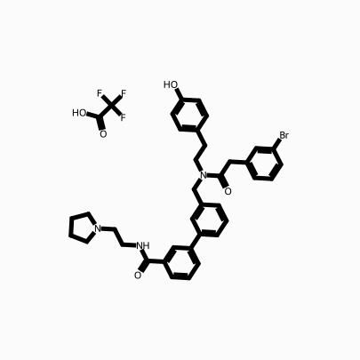 O=C(NCCN1CCCC1)c1cccc(-c2cccc(CN(CCc3ccc(O)cc3)C(=O)Cc3cccc(Br)c3)c2)c1.O=C(O)C(F)(F)F